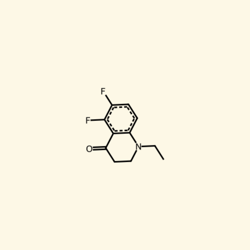 CCN1CCC(=O)c2c1ccc(F)c2F